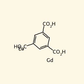 O=C(O)c1cc(C(=O)O)cc(C(=O)O)c1.[Eu].[Gd]